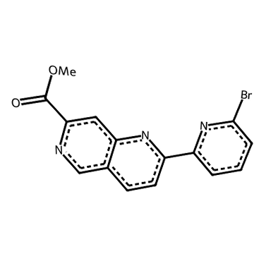 COC(=O)c1cc2nc(-c3cccc(Br)n3)ccc2cn1